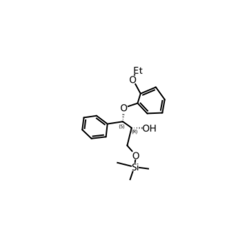 CCOc1ccccc1O[C@@H](c1ccccc1)[C@H](O)CO[Si](C)(C)C